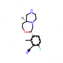 Cc1c([C@H]2CN3CCNC[C@@H]3CCO2)ccc(F)c1C#N